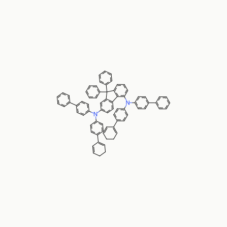 C1=CC(c2ccc(N(c3ccc(-c4ccccc4)cc3)c3ccc4c(c3)C(c3ccccc3)(c3ccccc3)c3cccc(N(c5ccc(C6=CCCC=C6)cc5)c5ccc(-c6ccccc6)cc5)c3-4)cc2)=CCC1